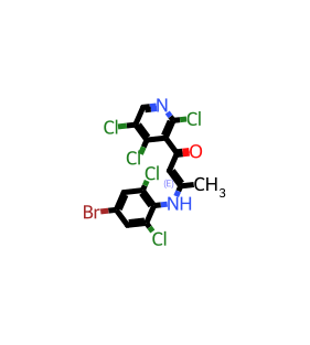 C/C(=C\C(=O)c1c(Cl)ncc(Cl)c1Cl)Nc1c(Cl)cc(Br)cc1Cl